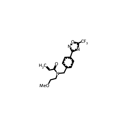 C=CC(=O)N(CCOC)Cc1ccc(-c2noc(C(F)(F)F)n2)cc1